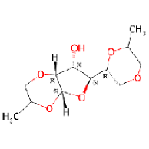 CC1CO[C@H]2[C@@H](O1)O[C@H]([C@H]1COCC(C)O1)[C@H]2O